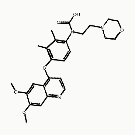 COc1cc2nccc(Oc3ccc(N(CCN4CCOCC4)C(=O)O)c(C)c3C)c2cc1OC